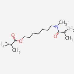 C=C(C)C(=O)OCCCCCCCN(C)C(=O)C(=C)C